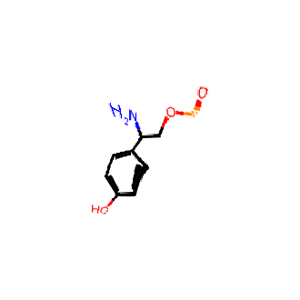 NC(COP=O)c1ccc(O)cc1